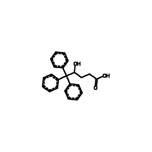 O=C(O)CCC(O)C(c1ccccc1)(c1ccccc1)c1ccccc1